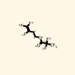 O=C(OCCC(F)=C(F)F)C(F)(F)C(F)(F)F